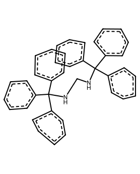 c1ccc(C(NCNC(c2ccccc2)(c2ccccc2)c2ccccc2)(c2ccccc2)c2ccccc2)cc1